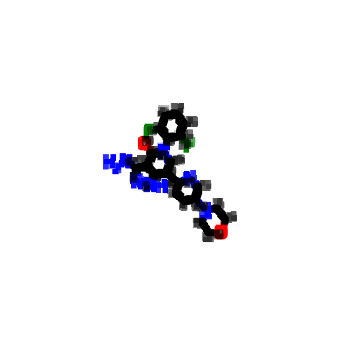 Nc1n[nH]c2c(-c3ccc(N4CCOCC4)cn3)cn(-c3c(F)cccc3F)c(=O)c12